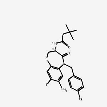 CC(C)(C)OC(=O)N[C@H]1CSc2cc(F)c(N)cc2N(Cc2ccc(Cl)cc2)C1=O